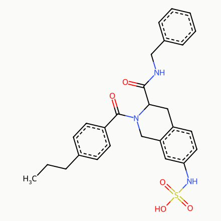 CCCc1ccc(C(=O)N2Cc3cc(NS(=O)(=O)O)ccc3CC2C(=O)NCc2ccccc2)cc1